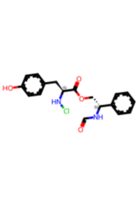 O=CN[C@H](COC(=O)[C@H](Cc1ccc(O)cc1)NCl)c1ccccc1